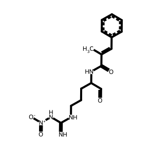 C/C(=C\c1ccccc1)C(=O)NC(C=O)CCCNC(=N)N[N+](=O)[O-]